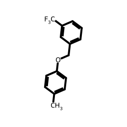 Cc1ccc(OCc2cccc(C(F)(F)F)c2)cc1